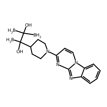 BC(B)(O)C(B)(O)C1CCN(c2ccn3c(n2)nc2ccccc23)CC1